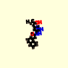 CC(O)Cc1cc(NC(=O)Cc2cccc3ccccc23)[nH]n1